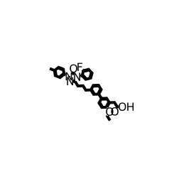 CCOc1ccc(-c2cccc(CCCc3nn(-c4ccc(C)cc4)c(=O)n3-c3ccccc3F)c2)cc1CC(=O)O